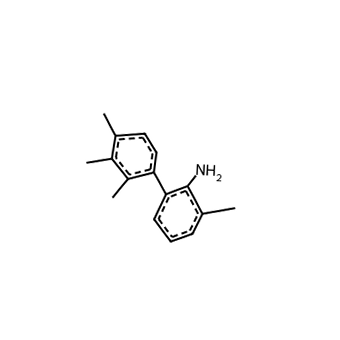 Cc1ccc(-c2cccc(C)c2N)c(C)c1C